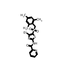 CCc1nc(NC(=O)c2ccccn2)sc1S(=O)(=O)Cc1c(C)cc(C)cc1C